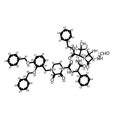 CC1(C)S[C@@H]2[C@H](NC=O)C(=O)N2[C@@]1(NC(=O)C(NC(=O)N1CCN(Cc2cccc(OCc3ccccc3)c2OCc2ccccc2)C(=O)C1=O)c1ccccc1)C(=O)OCc1ccccc1